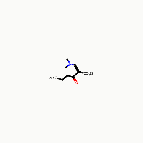 CCOC(=O)C(=CN(C)C)C(=O)CCOC